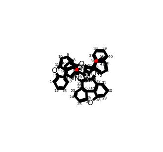 c1ccc(-c2nc(-c3cccc4oc5ccccc5c34)nc(-c3cccc4oc5cccc(-c6nc(-c7ccccc7)c7oc8ccccc8c7n6)c5c34)n2)cc1